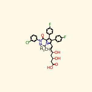 CC(C)n1c(/C=C/[C@@H](O)C[C@@H](O)CC(=O)O)c(-c2ccc(F)cc2)c(-c2ccc(F)cc2)c1C(=O)Nc1cccc(Cl)c1